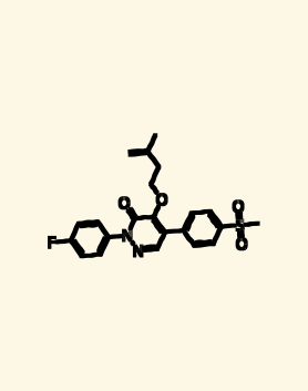 C=C(C)CCOc1c(-c2ccc(S(C)(=O)=O)cc2)cnn(-c2ccc(F)cc2)c1=O